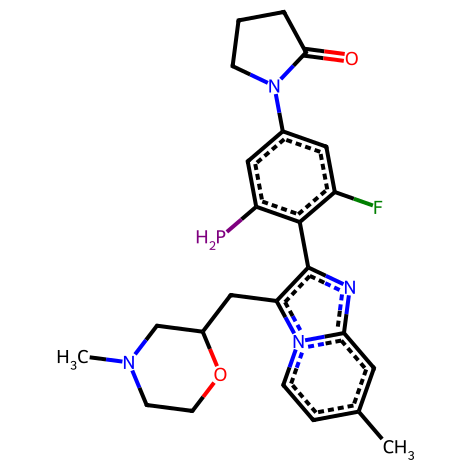 Cc1ccn2c(CC3CN(C)CCO3)c(-c3c(F)cc(N4CCCC4=O)cc3P)nc2c1